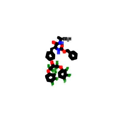 C[C@H](NC(=O)[C@H](Cc1ccccc1)NC(=O)OCc1ccccc1)C(=O)O.O=C(C(F)(F)Oc1ccc(F)c(F)c1F)C(F)(F)Oc1ccc(F)c(F)c1F